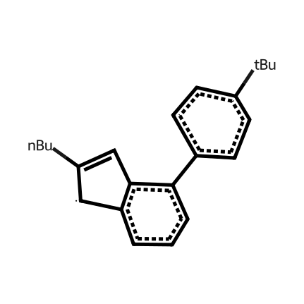 CCCCC1=Cc2c(cccc2-c2ccc(C(C)(C)C)cc2)[CH]1